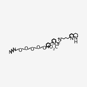 CN(CCCCc1ccc2c(n1)NCCC2)C[C@@H](CC(=O)O)c1cccc(-c2ccc(OCCOCCOCCOCCOCCN=[N+]=[N-])cc2)n1